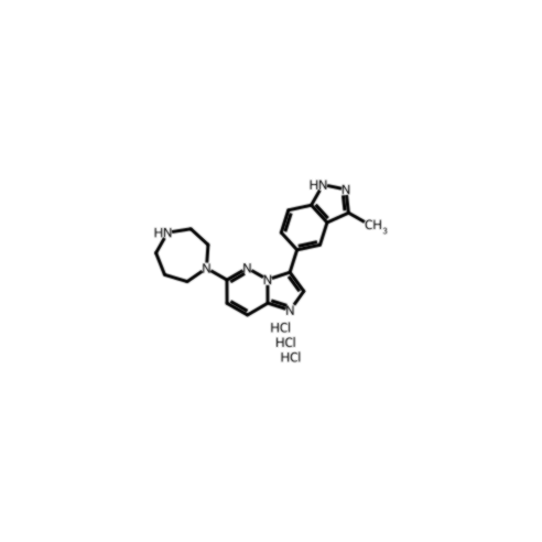 Cc1n[nH]c2ccc(-c3cnc4ccc(N5CCCNCC5)nn34)cc12.Cl.Cl.Cl